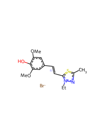 CC[n+]1nc(C)sc1/C=C/c1cc(OC)c(O)c(OC)c1.[Br-]